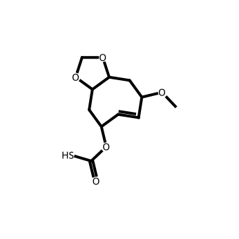 COC1/C=C/C(OC(=O)S)CC2OCOC2C1